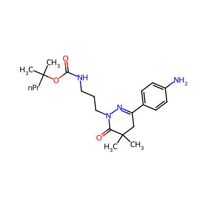 CCCC(C)(C)OC(=O)NCCCN1N=C(c2ccc(N)cc2)CC(C)(C)C1=O